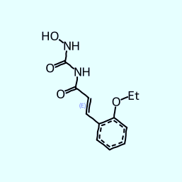 CCOc1ccccc1/C=C/C(=O)NC(=O)NO